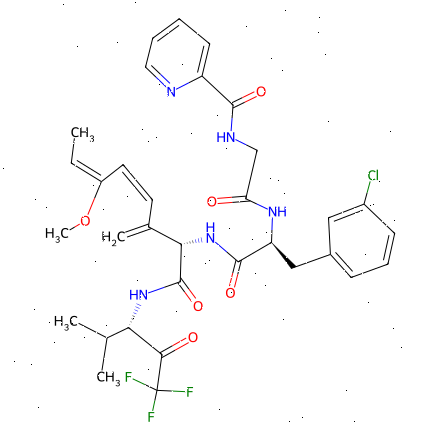 C=C(/C=C\C(=C/C)OC)[C@H](NC(=O)[C@H](Cc1cccc(Cl)c1)NC(=O)CNC(=O)c1ccccn1)C(=O)N[C@H](C(=O)C(F)(F)F)C(C)C